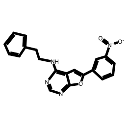 O=[N+]([O-])c1cccc(-c2cc3c(NCCc4ccccc4)ncnc3o2)c1